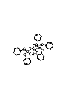 C[Si](C)(O[Si](C)(Oc1ccccc1)Oc1ccccc1)O[Si](Oc1ccccc1)(Oc1ccccc1)Oc1ccccc1